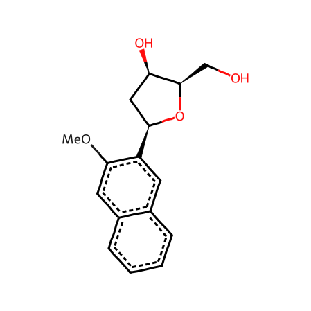 COc1cc2ccccc2cc1[C@H]1C[C@@H](O)[C@@H](CO)O1